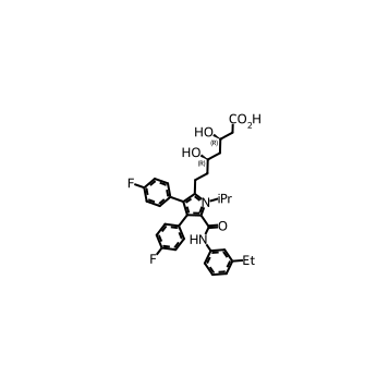 CCc1cccc(NC(=O)c2c(-c3ccc(F)cc3)c(-c3ccc(F)cc3)c(CC[C@@H](O)C[C@@H](O)CC(=O)O)n2C(C)C)c1